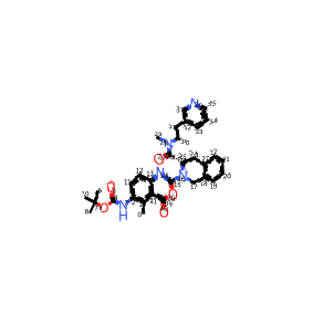 Cc1c(NC(=O)OC(C)(C)C)ccc2nc(N3Cc4ccccc4C[C@H]3C(=O)N(C)CCc3cccnc3)oc(=O)c12